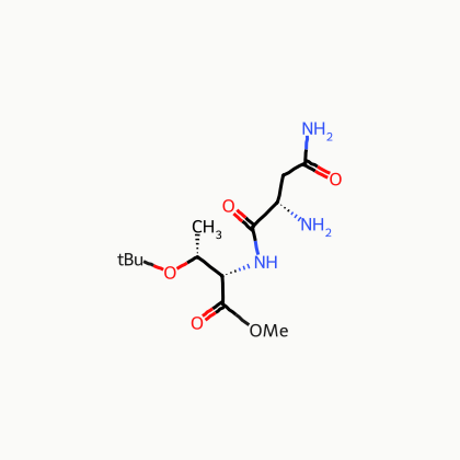 COC(=O)[C@@H](NC(=O)[C@@H](N)CC(N)=O)[C@@H](C)OC(C)(C)C